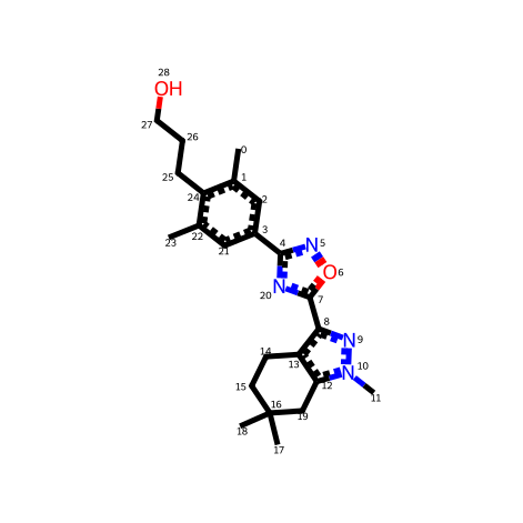 Cc1cc(-c2noc(-c3nn(C)c4c3CCC(C)(C)C4)n2)cc(C)c1CCCO